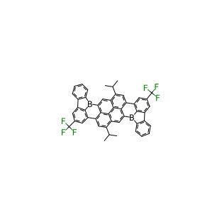 CC(C)c1cc2c3c(cc4c(C(C)C)cc5c6c(cc1c3c46)B1c3ccccc3-c3cc(C(F)(F)F)cc-5c31)B1c3ccccc3-c3cc(C(F)(F)F)cc-2c31